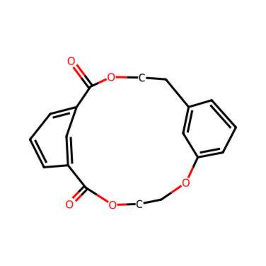 O=C1OCCOc2cccc(c2)CCOC(=O)c2cccc1c2